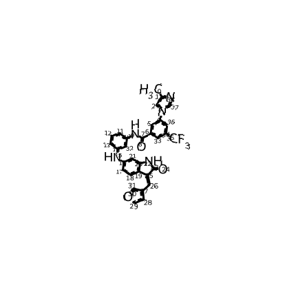 Cc1cn(-c2cc(C(=O)Nc3cccc(Nc4ccc5c(c4)NC(=O)C5=Cc4ccoc4)c3)cc(C(F)(F)F)c2)cn1